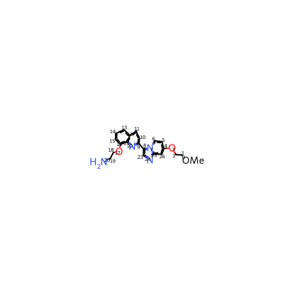 COCCOc1ccn2c(-c3ccc4cccc(OCCN)c4n3)cnc2c1